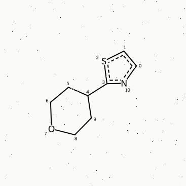 c1csc(C2CCOCC2)n1